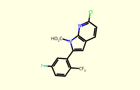 O=C(O)n1c(-c2cc(F)ccc2C(F)(F)F)cc2ccc(Cl)nc21